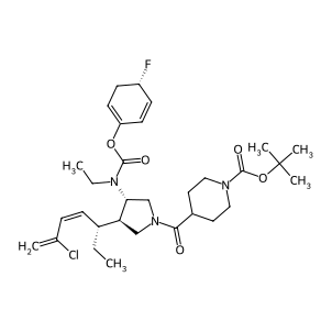 C=C(Cl)/C=C\[C@@H](CC)[C@@H]1CN(C(=O)C2CCN(C(=O)OC(C)(C)C)CC2)C[C@H]1N(CC)C(=O)OC1=CC[C@H](F)C=C1